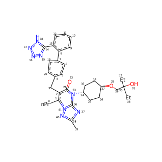 CCCc1c(Cc2ccc(-c3ccccc3-c3nnn[nH]3)cc2)c(=O)n([C@H]2CC[C@H](OCC(O)(CC)CC)CC2)c2nc(C)nn12